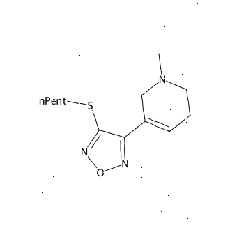 CCCCCSc1nonc1C1=CCCN(C)C1